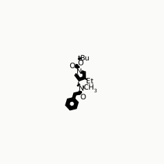 CC[C@@H]1CN(C(=O)OC(C)(C)C)C[C@H]1CN(C)C(=O)Cc1ccccc1